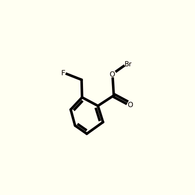 O=C(OBr)c1ccccc1CF